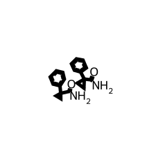 NC(=O)C1(c2ccccc2)CC1.NC(=O)C1(c2ccccc2)CC1